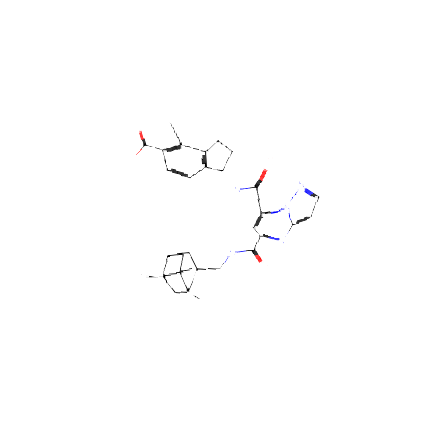 Cc1c(C(=O)O)ccc2c1CC[C@@H]2NC(=O)c1cc(C(=O)NCC2CC[C@H]3C[C@@H]2C3(C)C)nc2ccnn12